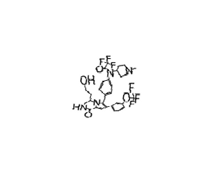 CN1CCC(N(C(=O)C(F)(F)F)c2ccc(-c3c(-c4cccc(OC(F)(F)F)c4)cc4n3C(CCO)CNC4=O)cc2)CC1